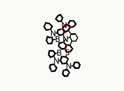 C1=C(c2ccccc2)C(N2c3cc4c(cc3B3c5ccccc5N(c5ccccc5)c5cc(N(c6ccccc6)c6ccccc6)cc2c53)B2c3ccccc3N(c3ccccc3)c3cc(N(c5ccccc5)c5ccccc5)cc(c32)S4)C(c2ccccc2)CC1